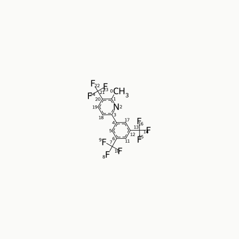 Cc1nc(-c2cc(C(F)(F)F)cc(C(F)(F)F)c2)ccc1C(F)(F)F